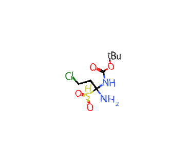 CC(C)(C)OC(=O)NC(N)(CCCl)[SH](=O)=O